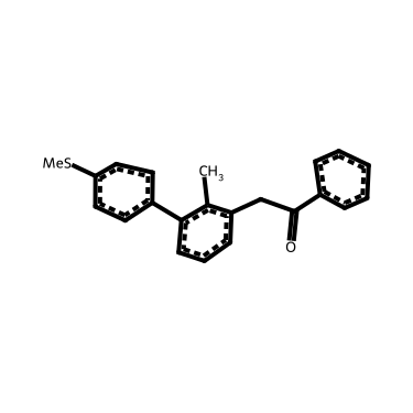 CSc1ccc(-c2cccc(CC(=O)c3ccccc3)c2C)cc1